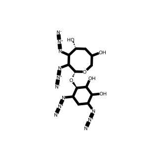 [N-]=[N+]=NC1CC(N=[N+]=[N-])[C@@H](O[C@H]2OCC(O)C[C@@H](O)C(N=[N+]=[N-])C2N=[N+]=[N-])C(O)C1O